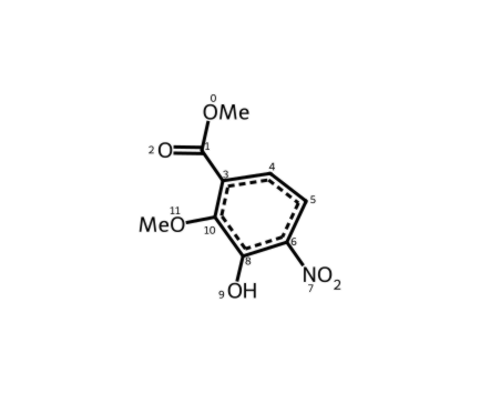 COC(=O)c1ccc([N+](=O)[O-])c(O)c1OC